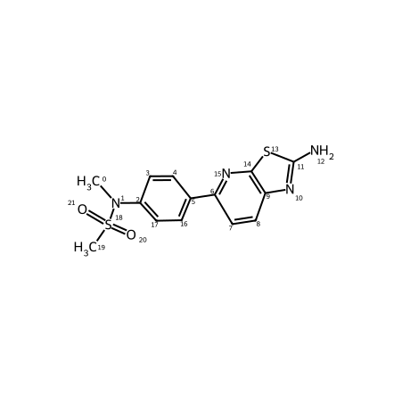 CN(c1ccc(-c2ccc3nc(N)sc3n2)cc1)S(C)(=O)=O